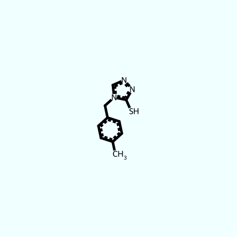 Cc1ccc(Cn2cnnc2S)cc1